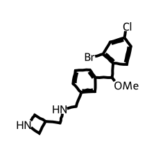 COC(c1cccc(CNCC2CNC2)c1)c1ccc(Cl)cc1Br